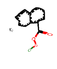 O=C(OOCl)c1cccc2ccccc12.[K]